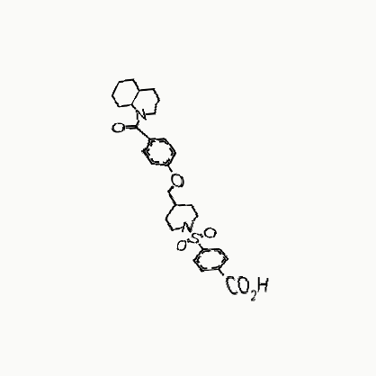 O=C(O)c1ccc(S(=O)(=O)N2CCC(COc3ccc(C(=O)N4CCCC5CCCCC54)cc3)CC2)cc1